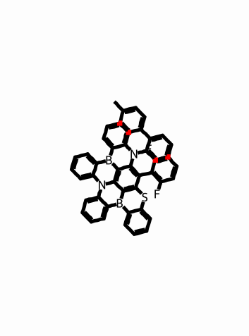 Cc1ccc(-c2ccccc2N2c3ccccc3B3c4ccccc4N4c5ccccc5B5c6ccccc6Sc6c5c4c3c2c6-c2c(F)cccc2F)cc1